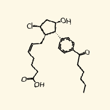 CCCCCC(=O)c1ccc([C@@H]2[C@@H](C/C=C\CCCC(=O)O)[C@@H](Cl)C[C@H]2O)cc1